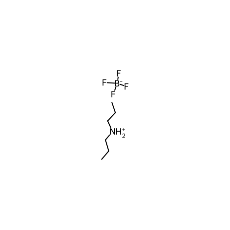 CCC[NH2+]CCC.F[B-](F)(F)F